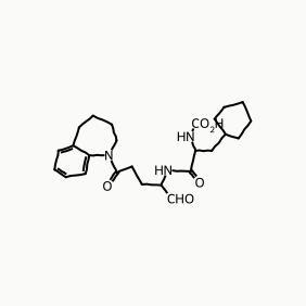 O=CC(CCC(=O)N1CCCCc2ccccc21)NC(=O)C(CC1CCCCC1)NC(=O)O